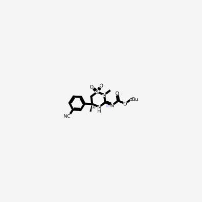 CN1/C(=N\C(=O)OC(C)(C)C)N[C@](C)(c2cccc(C#N)c2)CS1(=O)=O